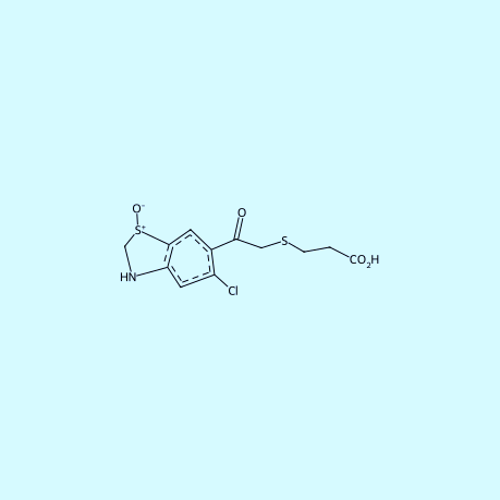 O=C(O)CCSCC(=O)c1cc2c(cc1Cl)NC[S+]2[O-]